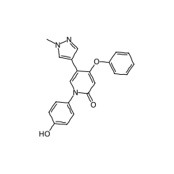 Cn1cc(-c2cn(-c3ccc(O)cc3)c(=O)cc2Oc2ccccc2)cn1